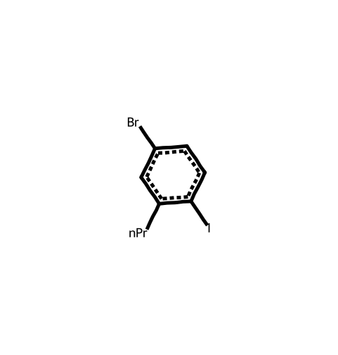 C[CH]Cc1cc(Br)ccc1I